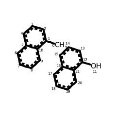 Cc1cccc2ccccc12.Oc1cccc2ccccc12